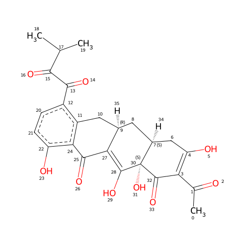 CC(=O)C1=C(O)C[C@@H]2C[C@@H]3Cc4c(C(=O)C(=O)C(C)C)ccc(O)c4C(=O)C3=C(O)[C@]2(O)C1=O